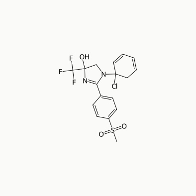 CS(=O)(=O)c1ccc(C2=NC(O)(C(F)(F)F)CN2C2(Cl)C=CC=CC2)cc1